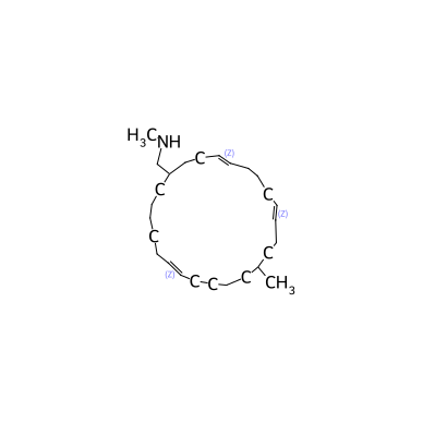 CNCC1CC/C=C\CCC/C=C\CCC(C)CCCC/C=C\CCCCC1